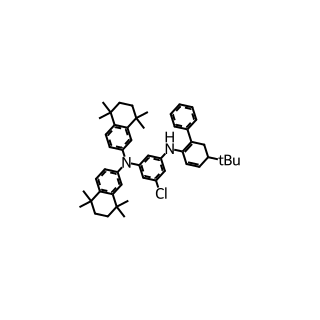 CC1(C)CCC(C)(C)c2cc(N(c3cc(Cl)cc(NC4=C(c5ccccc5)CC(C(C)(C)C)C=C4)c3)c3ccc4c(c3)C(C)(C)CCC4(C)C)ccc21